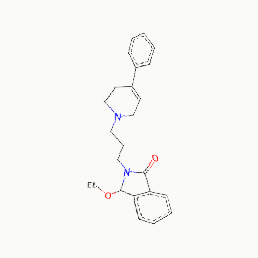 CCOC1c2ccccc2C(=O)N1CCCN1CC=C(c2ccccc2)CC1